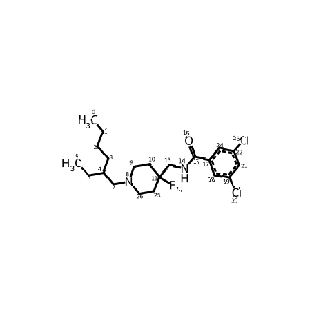 CCCCC(CC)CN1CCC(F)(CNC(=O)c2cc(Cl)cc(Cl)c2)CC1